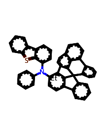 CCc1ccc2cccc3c2c1C1(c2ccccc2-c2ccc(N(c4ccccc4)c4cccc5c4sc4ccccc45)cc21)c1ccccc1-3